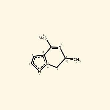 CSC1=N[C@@H](C)Cn2nccc21